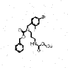 CC(C)(C)OC(=O)NCCCN(Cc1ccc(Br)cc1F)C(=O)OCc1ccccc1